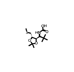 CSC[C@H]1OC(C)(C)O[C@@H]1C(NC(=O)O)C(C)(C)C